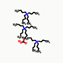 CCCC[N+](CCCC)(CCCC)CCCC.CCCC[N+](CCCC)(CCCC)CCCC.CCCC[N+](CCCC)(CCCC)CCCC.[O-]OB([O-])[O-]